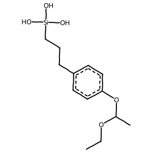 CCOC(C)Oc1ccc(CCC[Si](O)(O)O)cc1